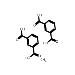 C.O=C(O)c1cccc(C(=O)O)c1.O=C(O)c1cccc(C(=O)O)c1